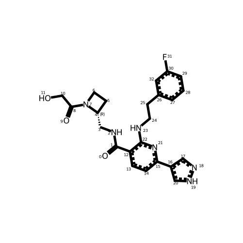 O=C(NC[C@H]1CCN1C(=O)CO)c1ccc(-c2cn[nH]c2)nc1NCCc1cccc(F)c1